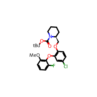 COc1cccc(F)c1Oc1cc(Cl)ccc1OC[C@@H]1CCCCN1C(=O)OC(C)(C)C